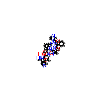 CCC[C@H](NC(=O)[C@@H]1[C@H]2CCC[C@H]2CN1C(=O)[C@@H](NC(=O)[C@@H](NC(=O)c1cnccn1)C1CCCCC1)C(C)(C)C)C(O)C(=O)N[C@@H](C)c1ccncc1